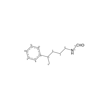 CC(CCCN[C]=O)c1ccccc1